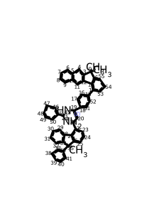 CC1(C)c2cc3ccccc3cc2-c2c(-c3ccc(/C(=C/Cc4cccc5c4-c4ccccc4C5(C)c4ccccc4)NC(N)c4ccccc4)cc3)cccc21